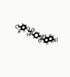 O=C(COc1ccc(Cl)c(F)c1)NC1CCC(NC(=O)c2ccc3cc(Cl)ccc3c2)CC1